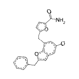 NC(=O)c1ccc(Cc2cc(Cl)cc3cc(Cc4ccccc4)oc23)o1